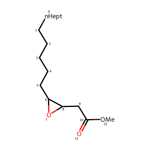 CCCCCCCCCCCCC1OC1CC(=O)OC